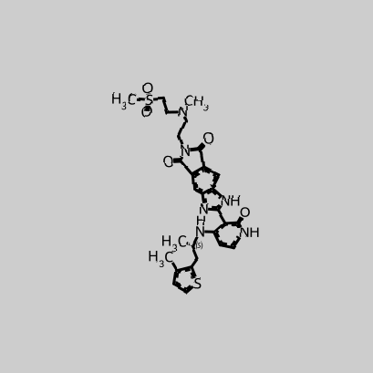 Cc1ccsc1C[C@H](C)Nc1cc[nH]c(=O)c1-c1nc2cc3c(cc2[nH]1)C(=O)N(CCN(C)CCS(C)(=O)=O)C3=O